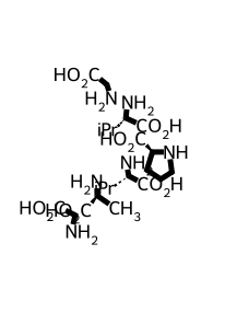 CC(C)[C@H](N)C(=O)O.CC(C)[C@H](N)C(=O)O.C[C@H](N)C(=O)O.NCC(=O)O.NCC(=O)O.O=C(O)[C@@H]1CCCN1